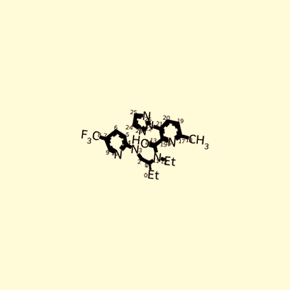 CC[C@@H](CNc1ccc(C(F)(F)F)cn1)N(CC)C(=O)c1nc(C)ccc1-n1nccn1